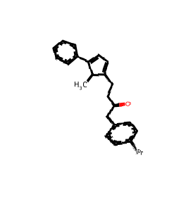 CC1C(CCC(=O)Cc2ccc(C(C)C)cc2)=CC=C1c1ccccc1